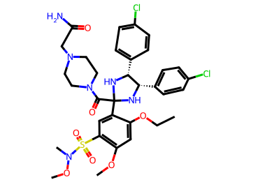 CCOc1cc(OC)c(S(=O)(=O)N(C)OC)cc1C1(C(=O)N2CCN(CC(N)=O)CC2)N[C@H](c2ccc(Cl)cc2)[C@H](c2ccc(Cl)cc2)N1